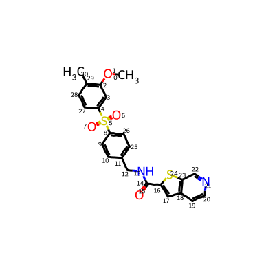 COc1cc(S(=O)(=O)c2ccc(CNC(=O)c3cc4ccncc4s3)cc2)ccc1C